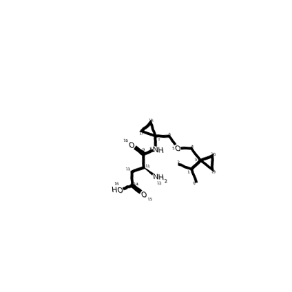 CC(C)C1(COCC2(NC(=O)[C@@H](N)CC(=O)O)CC2)CC1